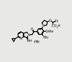 Br.CCC(OC1CCN(c2cc(C(=O)CN3Cc4ccc(C5CC5)nc4C3=N)cc(C(C)(C)C)c2OC)C1)C(=O)O